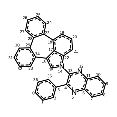 c1ccc(-c2nc3ccccc3nc2-n2cc3c4c(cccc42)-c2ccccc2-c2ccccc2-3)cc1